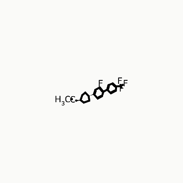 CCC[C@H]1CC[C@H](c2ccc(-c3ccc(C(F)(F)F)cc3)c(F)c2)CC1